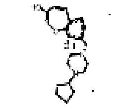 OC1=NOc2c(ccc(CN3CCN(C4CCCC4)CC3)c2O)C=C1